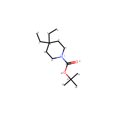 CCC1(CC)CCN(C(=O)OC(C)(C)C)CC1